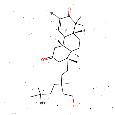 CCCC(C)(C)CC[C@](C)(CCO)CC[C@]1(C)CC(=O)C[C@@H]2[C@@]3(C)C=C(C#N)C(=O)C(C)(C)[C@@H]3CC[C@]21C